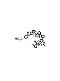 Cc1cc(-c2cccc(-c3cccc(Nc4nccc5sc(CN[C@H]6CC[C@@H](CC(=O)O)CC6)nc45)c3Cl)c2Cl)nc(OC(F)F)c1CNC[C@@H]1CCC(=O)N1